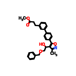 COC(=O)CCc1cccc(-c2ccc(-c3onc(C)c3C(O)COCc3ccccc3)cc2)c1